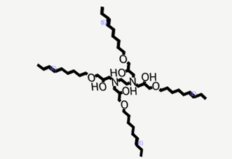 CC/C=C/CCCCCOCC(O)CN(CCN(CC(O)COCCCCC/C=C/CC)CC(O)COCCCCC/C=C/CC)CC(O)COCCCCC/C=C/CC